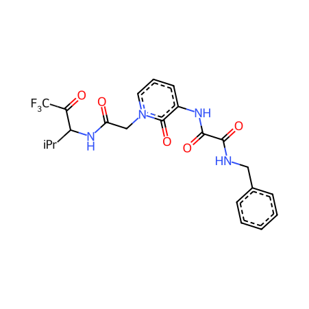 CC(C)C(NC(=O)Cn1cccc(NC(=O)C(=O)NCc2ccccc2)c1=O)C(=O)C(F)(F)F